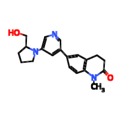 CN1C(=O)CCc2cc(-c3cncc(N4CCCC4CO)c3)ccc21